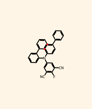 N#Cc1cc(N(c2ccc(-c3ccccc3)cc2)c2ccccc2-c2ccccc2)cc(C#N)c1F